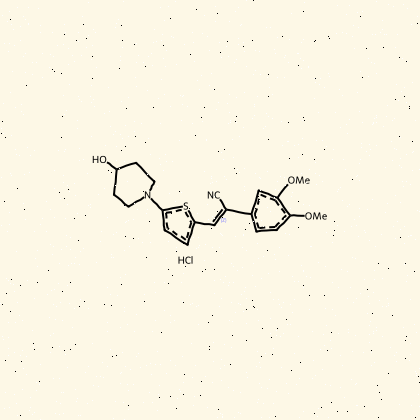 COc1ccc(/C(C#N)=C/c2ccc(N3CCC(O)CC3)s2)cc1OC.Cl